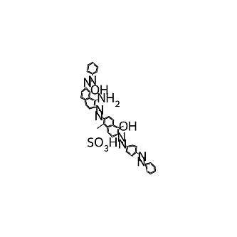 Cc1c(N=Nc2ccc3ccc(N=Nc4ccccc4)c(O)c3c2N)ccc2c(O)c(N=Nc3ccc(N=Nc4ccccc4)cc3)c(S(=O)(=O)O)cc12